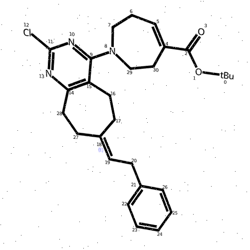 CC(C)(C)OC(=O)C1=CCCN(c2nc(Cl)nc3c2CC/C(=C\Cc2ccccc2)CC3)CC1